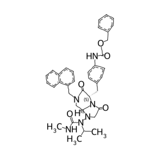 CNC(=O)N(C(C)C)N1CC(=O)N2[C@@H](Cc3ccc(NC(=O)OCc4ccccc4)cc3)C(=O)N(Cc3cccc4ccccc34)C[C@@H]21